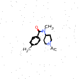 [CH2]c1ccc(C(=O)N(C)C2CCN(C(C)=O)CC2)cc1